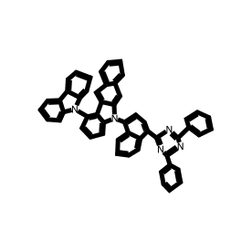 c1ccc(-c2nc(-c3ccccc3)nc(-c3ccc(-n4c5cc6ccccc6cc5c5c(-n6c7ccccc7c7ccccc76)cccc54)c4ccccc34)n2)cc1